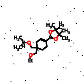 CCOCC1(CO[SiH](C)C)CC=C(B2OC(C)(C)C(C)(C)O2)CC1